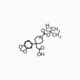 CC(C)(C)OC(=O)N1CCC(CC(=O)O)(c2ccc3c(c2)OCO3)CC1